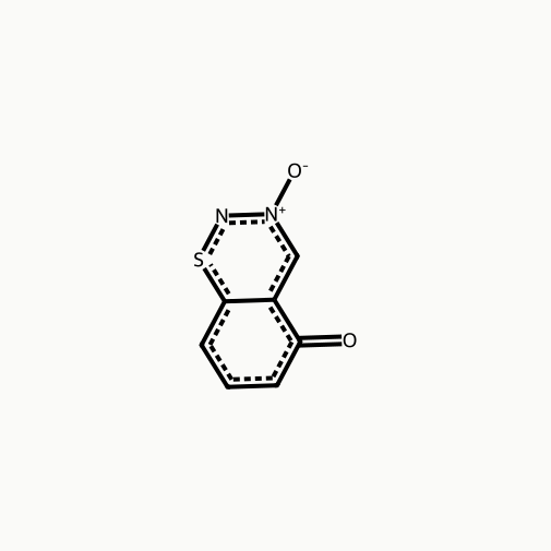 O=c1cccc2sn[n+]([O-])cc1-2